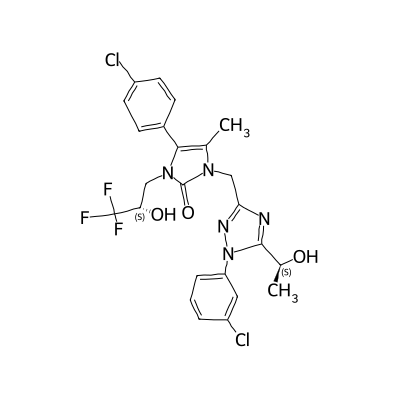 Cc1c(-c2ccc(Cl)cc2)n(C[C@H](O)C(F)(F)F)c(=O)n1Cc1nc([C@H](C)O)n(-c2cccc(Cl)c2)n1